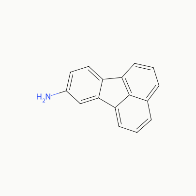 Nc1ccc2c(c1)-c1cccc3cccc-2c13